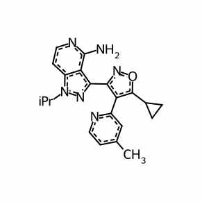 Cc1ccnc(-c2c(-c3nn(C(C)C)c4ccnc(N)c34)noc2C2CC2)c1